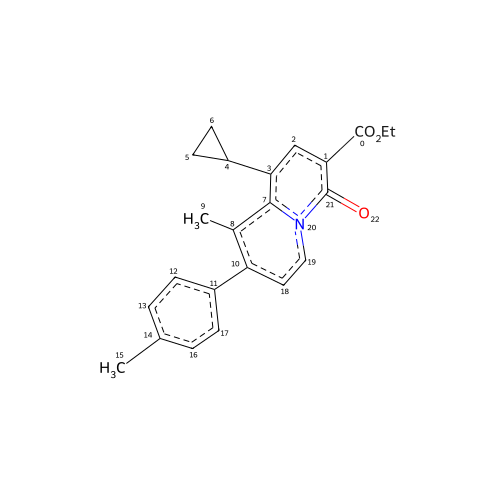 CCOC(=O)c1cc(C2CC2)c2c(C)c(-c3ccc(C)cc3)ccn2c1=O